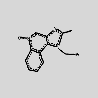 Cc1nc2c[n+]([O-])c3ccccc3c2n1CC(C)C